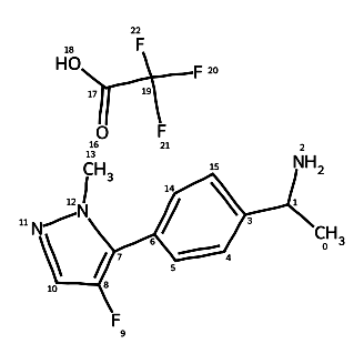 CC(N)c1ccc(-c2c(F)cnn2C)cc1.O=C(O)C(F)(F)F